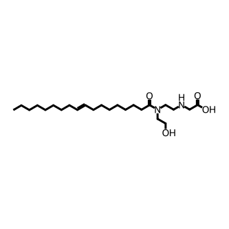 CCCCCCCCC=CCCCCCCCC(=O)N(CCO)CCNCC(=O)O